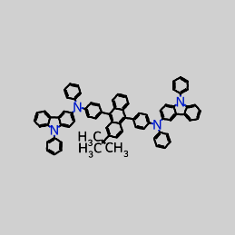 CC(C)(C)c1ccc2c(-c3ccc(N(c4ccccc4)c4ccc5c(c4)c4ccccc4n5-c4ccccc4)cc3)c3ccccc3c(-c3ccc(N(c4ccccc4)c4ccc5c(c4)c4ccccc4n5-c4ccccc4)cc3)c2c1